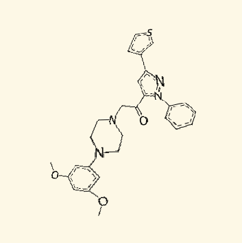 COc1cc(OC)cc(N2CCN(CC(=O)c3cc(-c4ccsc4)nn3-c3ccccc3)CC2)c1